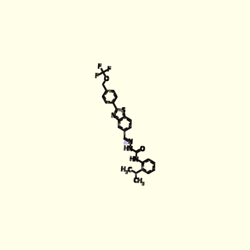 CC(C)c1ccccc1NC(=O)N/N=C/c1ccc2sc(-c3ccc(COC(F)(F)F)cc3)nc2c1